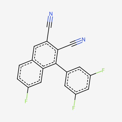 N#Cc1cc2ccc(F)cc2c(-c2cc(F)cc(F)c2)c1C#N